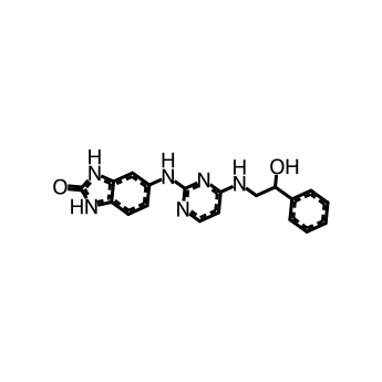 O=c1[nH]c2ccc(Nc3nccc(NCC(O)c4ccccc4)n3)cc2[nH]1